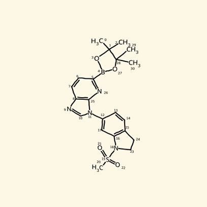 CC1(C)OB(c2ccc3ncn(-c4ccc5c(c4)N(S(C)(=O)=O)CC5)c3n2)OC1(C)C